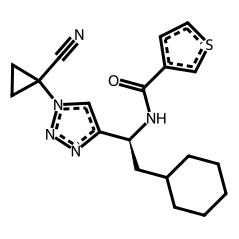 N#CC1(n2cc([C@H](CC3CCCCC3)NC(=O)c3ccsc3)nn2)CC1